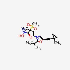 CC(C)C1OC(C#CC2(C)CC2)=CN1CCC(C)(C(=O)NO)S(C)(=O)=O